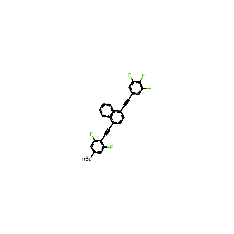 CCCCc1cc(F)c(C#Cc2ccc(C#Cc3cc(F)c(F)c(F)c3)c3ccccc23)c(F)c1